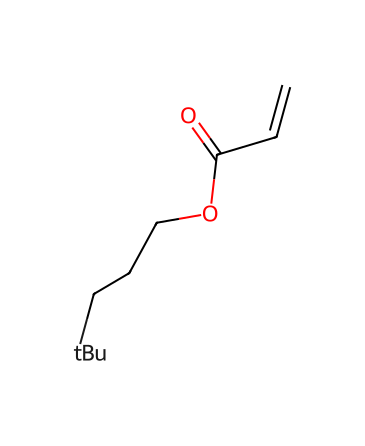 C=CC(=O)OCCCC(C)(C)C